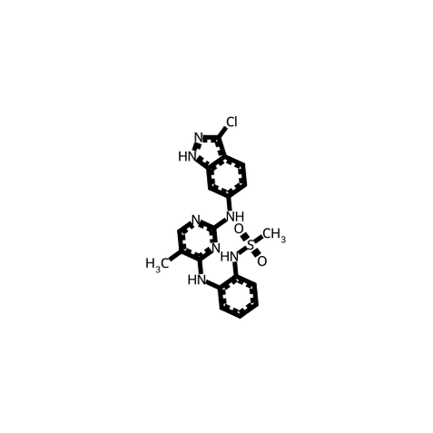 Cc1cnc(Nc2ccc3c(Cl)n[nH]c3c2)nc1Nc1ccccc1NS(C)(=O)=O